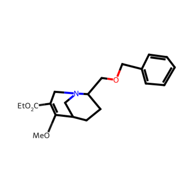 CCOC(=O)C1=C(OC)C2CCC(COCc3ccccc3)N(C1)C2